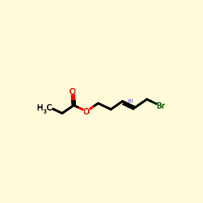 CCC(=O)OCC/C=C/CBr